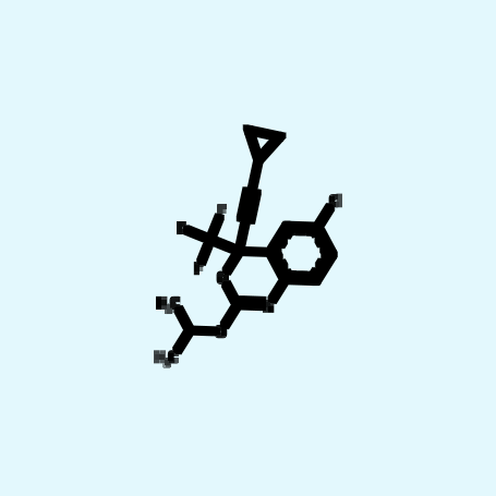 CC(C)OC1=Nc2ccc(Cl)cc2C(C#CC2CC2)(C(F)(F)F)O1